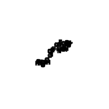 CCN(C)S(=O)(=O)Nc1ccc(F)c(C(=O)c2c[nH]c3nccc(-c4ccccc4C4CCN(C(=O)CN5CCC(c6ccc(NC7CCC(=O)NC7=O)cc6)CC5)CC4)c23)c1F